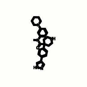 CN(C(=O)C1(c2ccc(-c3cn[nH]c3)cc2)CCNCC1)c1cccc(N2CCCCC2)c1